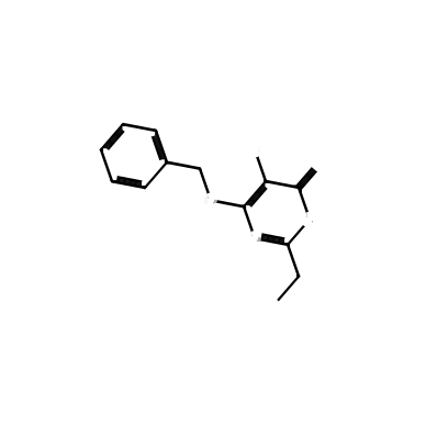 CCc1nc(NCc2ccccc2)c(S)c(=O)[nH]1